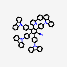 N#Cc1c(-c2ccc(-n3c4ccccc4c4ccccc43)cc2)c(-c2ccc(-n3c4ccccc4c4ccccc43)cc2)c(-c2ccc(-n3c4ccccc4c4ccccc43)cc2)c(-c2cccc(-c3ccccc3)n2)c1-c1ccc(-n2c3ccccc3c3ccccc32)cc1